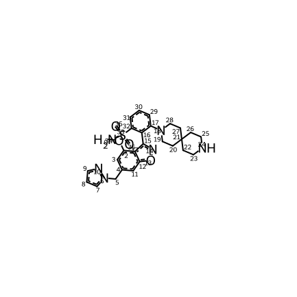 COc1cc(Cn2cccn2)cc2onc(-c3c(N4CCC5(CCNCC5)CC4)cccc3S(N)(=O)=O)c12